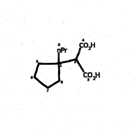 CCCC1(C(C(=O)O)C(=O)O)CCCC1